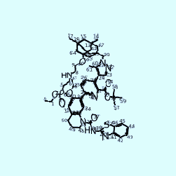 CCOP(=O)(CCNCCOC12CC3(C)CC(C)(CC(Cn4ncc(-c5ccc(-c6ccc7c(c6)N(C(=O)Nc6nc8ccccc8s6)CCC7)nc5C(=O)OC(C)(C)C)c4C)(C3)C1)C2)OCC